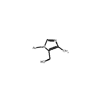 Cc1nc[n]([Au])c1CO